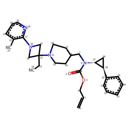 C=CCOC(=O)N(CC1CCN(C2(CC#N)CN(c3ncccc3C#N)C2)CC1)[C@@H]1C[C@H]1c1ccccc1